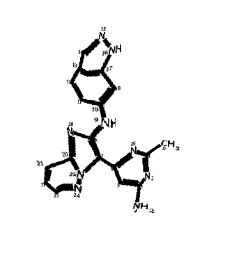 Cc1nc(N)cc(-c2c(Nc3ccc4cn[nH]c4c3)nc3cccnn23)n1